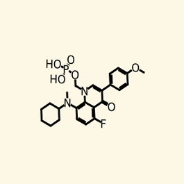 COc1ccc(-c2cn(COP(=O)(O)O)c3c(N(C)C4CCCCC4)ccc(F)c3c2=O)cc1